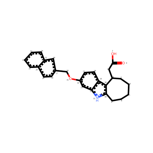 O=C(O)CC1CCCCCc2[nH]c3cc(OCc4ccc5ccccc5c4)ccc3c21